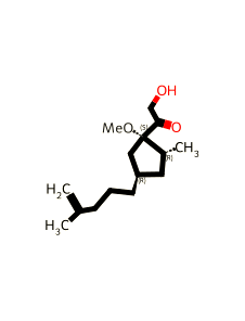 C=C(C)CCC[C@@H]1C[C@@H](C)[C@](OC)(C(=O)CO)C1